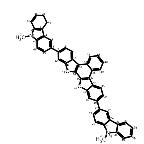 Cn1c2c(c3cc(-c4ccc5c(c4)oc4c6oc7cc(-c8ccc9c(c8)c8ccccc8n9C)ccc7c6c6ccccc6c54)ccc31)CCC=C2